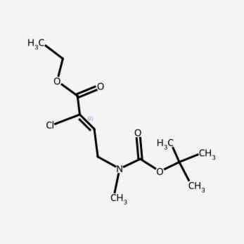 CCOC(=O)/C(Cl)=C/CN(C)C(=O)OC(C)(C)C